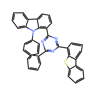 c1ccc(-c2nc(-c3cccc4c3sc3ccccc34)nc(-c3cccc4c5ccccc5n(-c5ccccc5)c34)n2)cc1